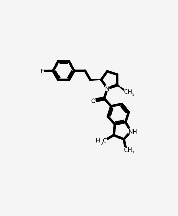 CC1Nc2ccc(C(=O)N3[C@@H](CCc4ccc(F)cc4)CC[C@H]3C)cc2C1C